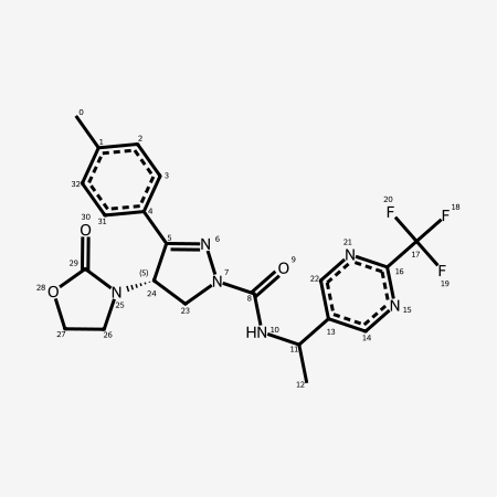 Cc1ccc(C2=NN(C(=O)NC(C)c3cnc(C(F)(F)F)nc3)C[C@@H]2N2CCOC2=O)cc1